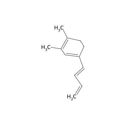 C=C/C=C/C1=CC(C)=C(C)CC1